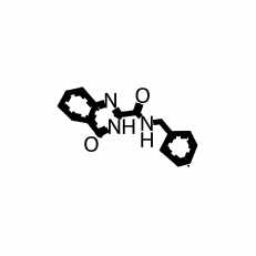 O=C(NCc1cc[c]cc1)c1nc2ccccc2c(=O)[nH]1